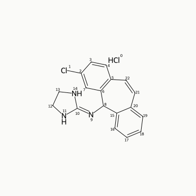 Cl.Clc1ccc2c(c1)C(N=C1NCCN1)c1ccccc1C=C2